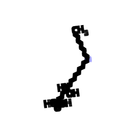 CCCCCCCC/C=C\CCCCCCCCNC(O)CCCP(=O)(O)O